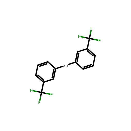 FC(F)(F)c1ccc[c]([Zn][c]2cccc(C(F)(F)F)c2)c1